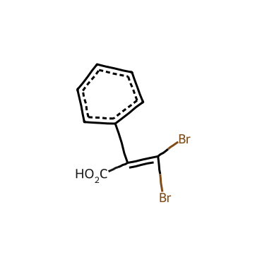 O=C(O)C(=C(Br)Br)c1ccccc1